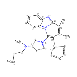 CC(=O)NCCN(C)[C@H]1CCN(c2c(-c3ccccc3)c(C)c(C#N)c3nc4ccccc4n23)C1